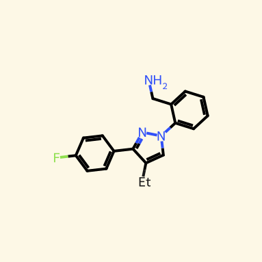 CCc1cn(-c2ccccc2CN)nc1-c1ccc(F)cc1